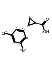 O=C(O)[C@@H]1C[C@H]1c1cc(Cl)cc(Br)c1